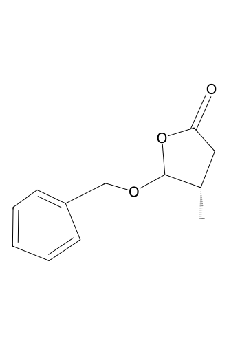 C[C@H]1CC(=O)OC1OCc1ccccc1